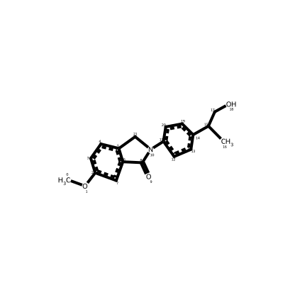 COc1ccc2c(c1)C(=O)N(c1ccc(C(C)CO)cc1)C2